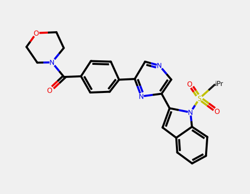 CC(C)S(=O)(=O)n1c(-c2cncc(-c3ccc(C(=O)N4CCOCC4)cc3)n2)cc2ccccc21